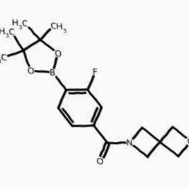 CC1(C)OB(c2ccc(C(=O)N3CC4(COC4)C3)cc2F)OC1(C)C